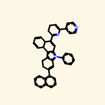 C1=CC2C(C3=NC(c4ccncc4)=CCC3)=Cc3c(c4c(n3-c3ccccc3)C=C(c3cccc5ccccc35)CC4)C2C=C1